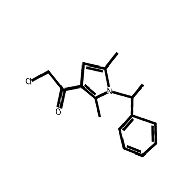 Cc1cc(C(=O)CCl)c(C)n1C(C)c1ccccc1